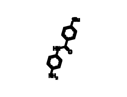 CC(C)(C)c1ccc(C(=O)Nc2ccc(N)cc2)cc1